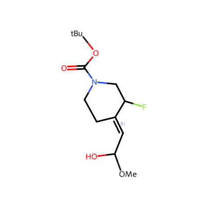 COC(O)/C=C1\CCN(C(=O)OC(C)(C)C)CC1F